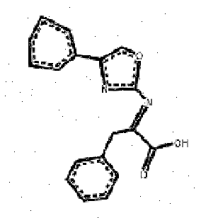 O=C(O)/C(Cc1ccccc1)=N/c1nc(-c2ccccc2)co1